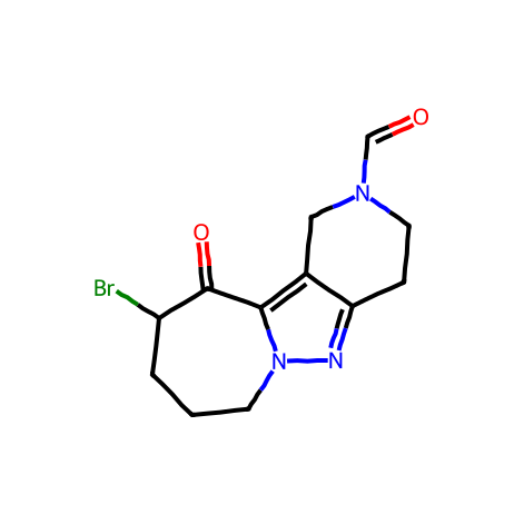 O=CN1CCc2nn3c(c2C1)C(=O)C(Br)CCC3